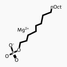 CCCCCCCCCCCCCCCCOP(=O)([O-])[O-].[Mg+2]